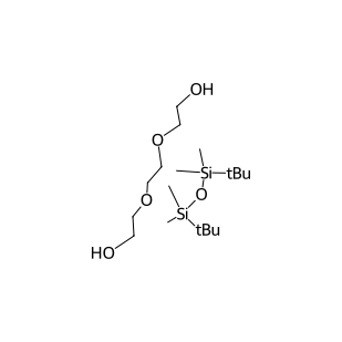 CC(C)(C)[Si](C)(C)O[Si](C)(C)C(C)(C)C.OCCOCCOCCO